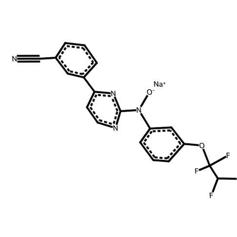 N#Cc1cccc(-c2ccnc(N([O-])c3cccc(OC(F)(F)C(F)F)c3)n2)c1.[Na+]